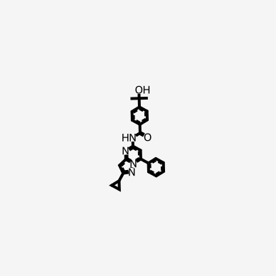 CC(C)(O)c1ccc(C(=O)Nc2cc(-c3ccccc3)n3nc(C4CC4)cc3n2)cc1